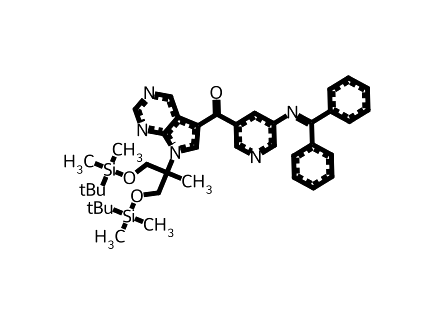 CC(CO[Si](C)(C)C(C)(C)C)(CO[Si](C)(C)C(C)(C)C)n1cc(C(=O)c2cncc(N=C(c3ccccc3)c3ccccc3)c2)c2cncnc21